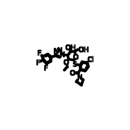 CCOC1C(n2cc(-c3cc(F)c(F)c(F)c3)nn2)[C@@H](O)C(CO)O[C@@H]1Sc1cc(Cl)ccc1C(=O)N1CCC1